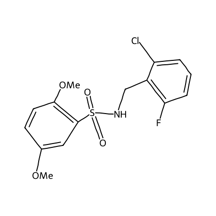 COc1ccc(OC)c(S(=O)(=O)NCc2c(F)cccc2Cl)c1